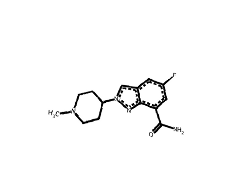 CN1CCC(n2cc3cc(F)cc(C(N)=O)c3n2)CC1